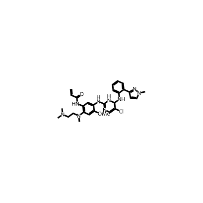 C=CC(=O)Nc1cc(NC2=NC=C(Cl)C(Nc3ccccc3-c3ccn(C)n3)N2)c(OC)cc1N(C)CCN(C)C